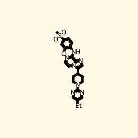 CCc1cnc(N2CCC(c3cnc4c(Nc5ccc(S(C)(=O)=O)cc5Cl)nccn34)CC2)nc1